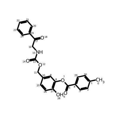 Cc1ccc(C(=O)Oc2cc(COC(=O)NCC(=O)c3ccccc3)ccc2O)cc1